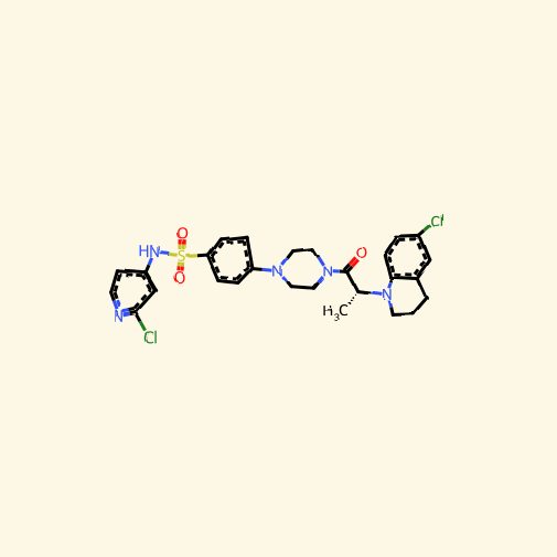 C[C@H](C(=O)N1CCN(c2ccc(S(=O)(=O)Nc3ccnc(Cl)c3)cc2)CC1)N1CCCc2cc(Cl)ccc21